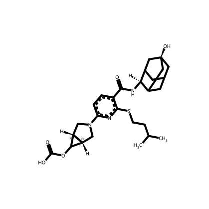 CC(C)CCSc1nc(N2C[C@@H]3C(OC(=O)O)[C@@H]3C2)ccc1C(=O)N[C@H]1C2CC3CC1C[C@@](O)(C3)C2